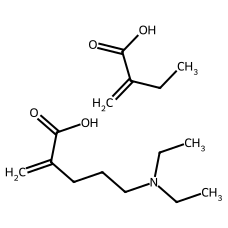 C=C(CC)C(=O)O.C=C(CCCN(CC)CC)C(=O)O